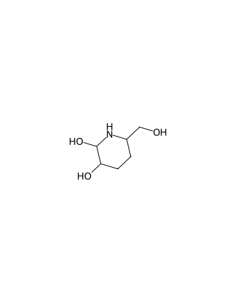 OCC1CCC(O)C(O)N1